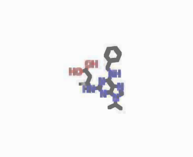 CC(C)n1cnc2c(NCc3ccccc3)nc(N[C@H](C)CC(O)O)nc21